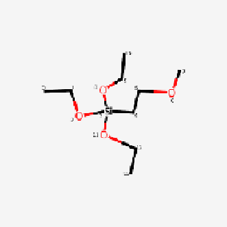 CCO[Si](CCOC)(OCC)OCC